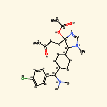 CCCN1C=NC(CCC(=O)OC)(OC(=O)OC)C1C1CCC(C(c2ccc(Cl)cc2)N(C)C)CC1